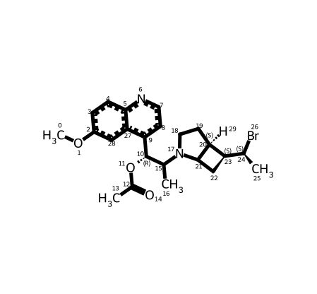 COc1ccc2nccc([C@@H](OC(C)=O)C(C)N3CC[C@@H]4C3C[C@@H]4[C@H](C)Br)c2c1